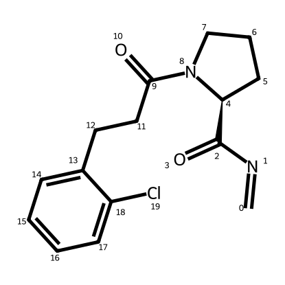 C=NC(=O)[C@@H]1CCCN1C(=O)CCc1ccccc1Cl